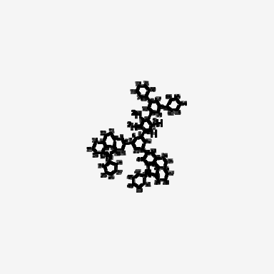 [2H]c1c([2H])c(-c2cc(-c3cc4ccc5cccc6c5c4c(c3)n6-c3ccccc3)cc(-c3cc4ccc5cccc6c5c4c(c3)n6-c3ccccc3)c2)c([2H])c([2H])c1-c1cc(-c2ccccc2)cc(-c2ccccc2)c1